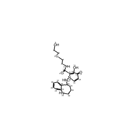 O=C(NCCOCCO)c1c(O)c(=O)ccn1NC1CCCNc2ccccc21